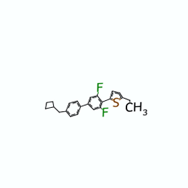 CCc1ccc(-c2c(F)cc(-c3ccc(CC4CCC4)cc3)cc2F)s1